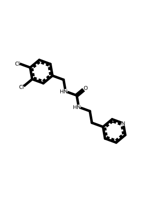 O=C(NCCc1cccnc1)NCc1ccc(Cl)c(Cl)c1